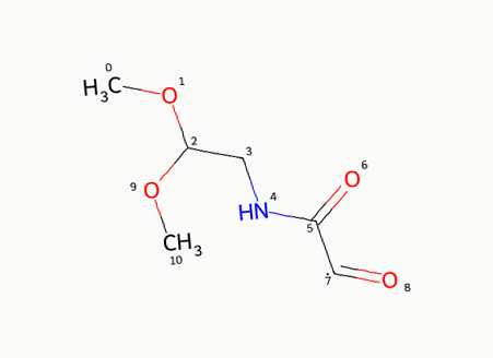 COC(CNC(=O)[C]=O)OC